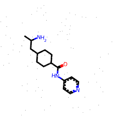 CC(N)CC1CCC(C(=O)Nc2ccncc2)CC1